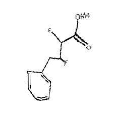 COC(=O)C(F)C(F)Cc1ccccc1